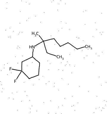 CCCCCC(C)(CC)NC1CCCC(F)(F)C1